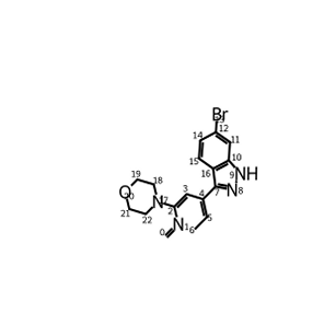 C=N/C(=C\C(=C/C)c1n[nH]c2cc(Br)ccc12)N1CCOCC1